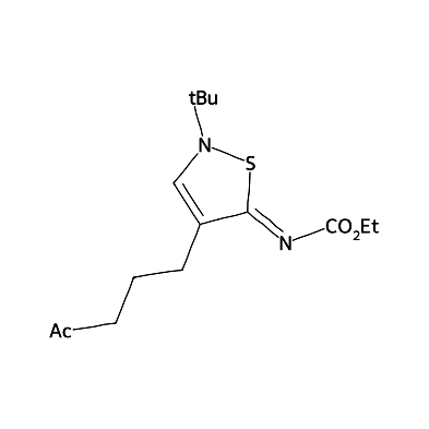 CCOC(=O)/N=c1\sn(C(C)(C)C)cc1CCCC(C)=O